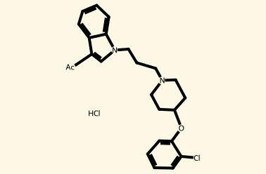 CC(=O)c1cn(CCCN2CCC(Oc3ccccc3Cl)CC2)c2ccccc12.Cl